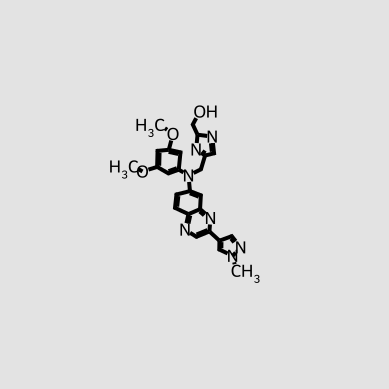 COc1cc(OC)cc(N(CC2=NC(CO)N=C2)c2ccc3ncc(-c4cnn(C)c4)nc3c2)c1